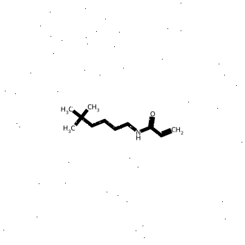 C=CC(=O)NCCCCC(C)(C)C